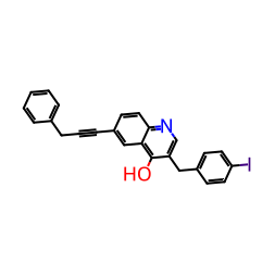 Oc1c(Cc2ccc(I)cc2)cnc2ccc(C#CCc3ccccc3)cc12